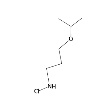 CC(C)OCCCNCl